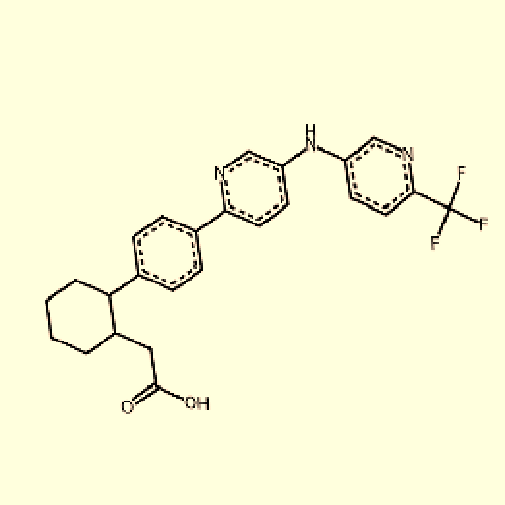 O=C(O)CC1CCCCC1c1ccc(-c2ccc(Nc3ccc(C(F)(F)F)nc3)cn2)cc1